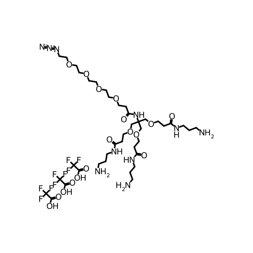 O=C(O)C(F)(F)F.O=C(O)C(F)(F)F.O=C(O)C(F)(F)F.[N-]=[N+]=NCCOCCOCCOCCOCCC(=O)NC(COCCC(=O)NCCCN)(COCCC(=O)NCCCN)COCCC(=O)NCCCN